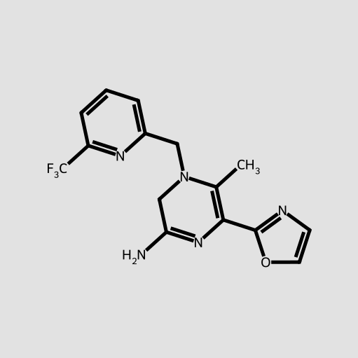 CC1=C(c2ncco2)N=C(N)CN1Cc1cccc(C(F)(F)F)n1